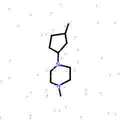 CC1CCC(N2CCN(C)CC2)C1